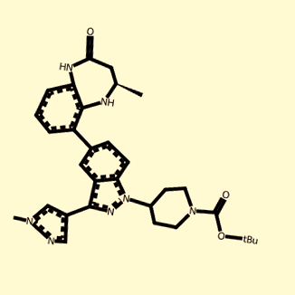 C[C@@H]1CC(=O)Nc2cccc(-c3ccc4c(c3)c(-c3cnn(C)c3)nn4C3CCN(C(=O)OC(C)(C)C)CC3)c2N1